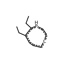 CCc1cccccc[pH]c1CC